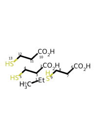 CCC.O=C(O)CCS.O=C(O)CCS.O=C(O)CCS